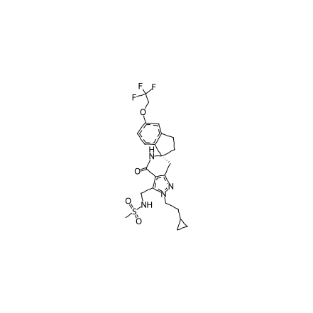 CS(=O)(=O)NCc1c2c(nn1CCC1CC1)C[C@]1(CCc3cc(OCC(F)(F)F)ccc31)NC2=O